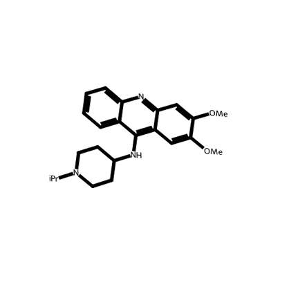 COc1cc2nc3ccccc3c(NC3CCN(C(C)C)CC3)c2cc1OC